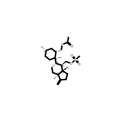 C=C1CC[C@H]2[C@H](COS(C)(=O)=O)[C@@H]([C@@]3(C)CC[C@H](C)C[C@@H]3COC(C)=O)CC[C@]12C